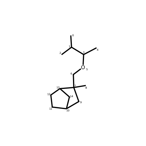 CC(C)C(C)OCC1(C)CC2CCC1C2